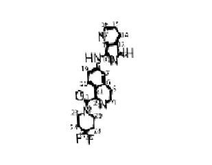 O=C(c1nccc2cc(Nc3n[nH]c4cccnc34)ccc12)N1CCC(F)(F)CC1